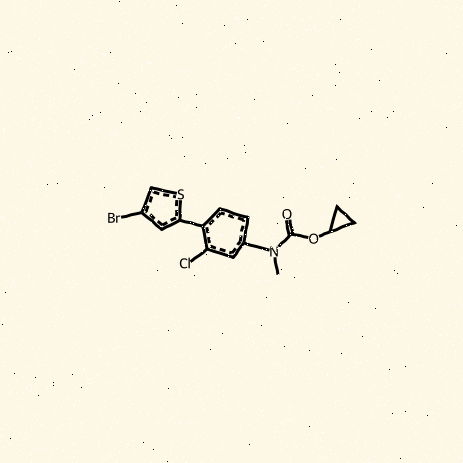 CN(C(=O)OC1CC1)c1ccc(-c2cc(Br)cs2)c(Cl)c1